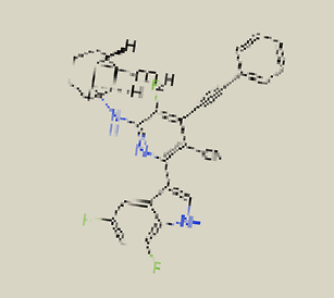 N#Cc1c(-c2c[nH]c3c(F)cc(F)cc23)nc(N[C@H]2C3CCC(CC3)[C@@H]2C(=O)O)c(F)c1C#Cc1ccccc1